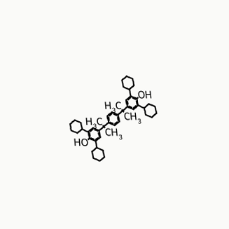 CC(C)(c1ccc(C(C)(C)c2cc(C3CCCCC3)c(O)c(C3CCCCC3)c2)cc1)c1cc(C2CCCCC2)c(O)c(C2CCCCC2)c1